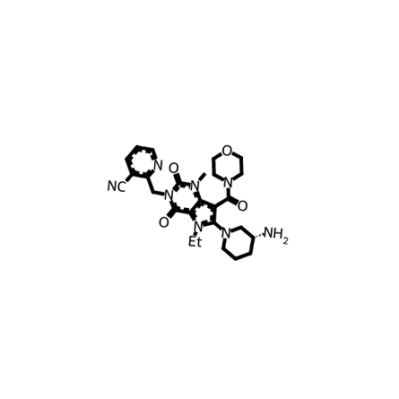 CCn1c(N2CCC[C@@H](N)C2)c(C(=O)N2CCOCC2)c2c1c(=O)n(Cc1ncccc1C#N)c(=O)n2C